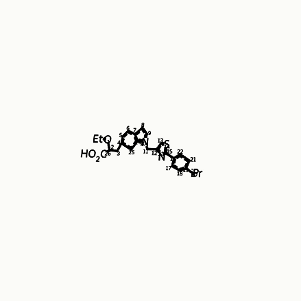 CCOC(Cc1ccc2ccn(Cc3csc(-c4ccc(C(C)C)cc4)n3)c2c1)C(=O)O